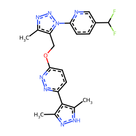 Cc1n[nH]c(C)c1-c1ccc(OCc2c(C)nnn2-c2ccc(C(F)F)cn2)nn1